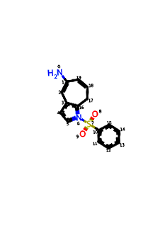 NC1=Cc2ccn(S(=O)(=O)c3ccccc3)c2CC=C1